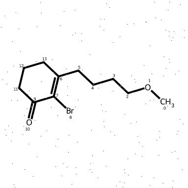 COCCCCC1=C(Br)C(=O)CCC1